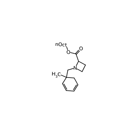 CCCCCCCCOC(=O)C1CCN1CC1(C)C=CC=CC1